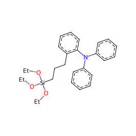 CCO[Si](CCCc1ccccc1N(c1ccccc1)c1ccccc1)(OCC)OCC